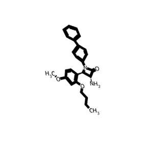 CCCCOc1cc(OC)ccc1[C@@H]1[C@@H](N)C(=O)N1c1ccc(-c2ccccc2)cc1